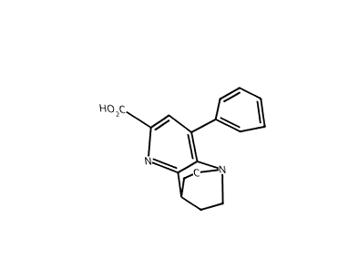 O=C(O)c1cc(-c2ccccc2)c2c(n1)C1CCN2CC1